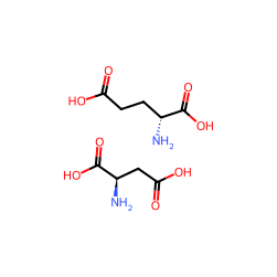 N[C@H](CC(=O)O)C(=O)O.N[C@H](CCC(=O)O)C(=O)O